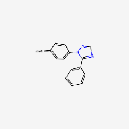 COc1ccc(-n2ncnc2-c2ccccc2)cc1